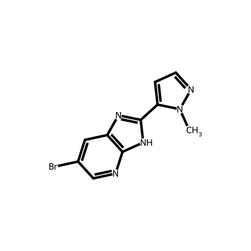 Cn1nccc1-c1nc2cc(Br)cnc2[nH]1